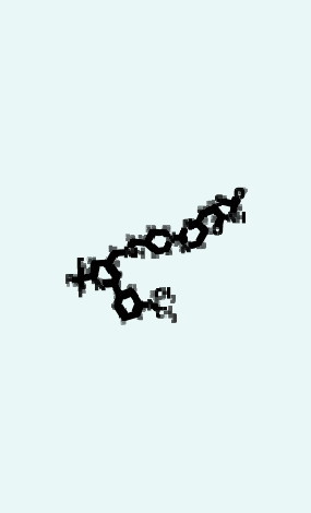 CN(C)c1cccc(-c2cc(CNCC3CCN(c4nccc(C=C5SC(=O)NC5=O)n4)CC3)cc(C(F)(F)F)n2)c1